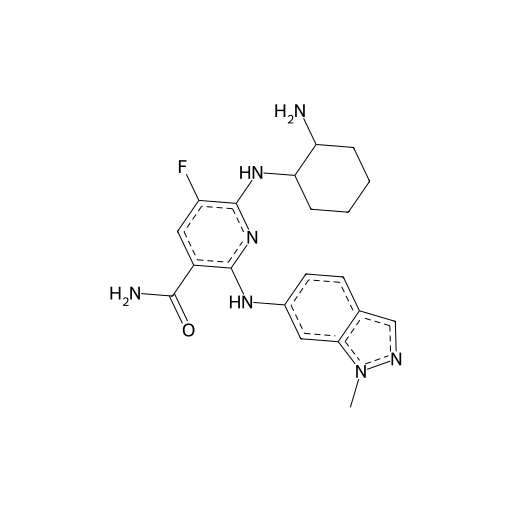 Cn1ncc2ccc(Nc3nc(NC4CCCCC4N)c(F)cc3C(N)=O)cc21